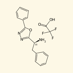 N[C@@H](Cc1ccccc1)c1nnc(-c2ccccc2)o1.O=C(O)C(F)(F)F